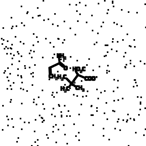 C=CC(N)=O.C[N+](C)(C)C(C(=O)[O-])C(=O)O